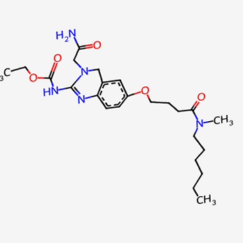 CCCCCCN(C)C(=O)CCCOc1ccc2c(c1)CN(CC(N)=O)C(NC(=O)OCC)=N2